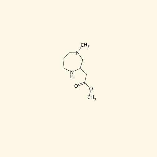 COC(=O)CC1CN(C)CCCN1